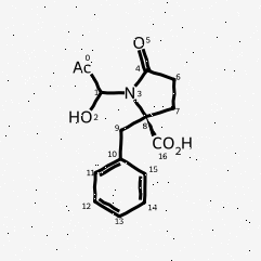 CC(=O)C(O)N1C(=O)CC[C@@]1(Cc1ccccc1)C(=O)O